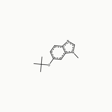 Cn1cnc2ccc(OC(C)(C)C)cc21